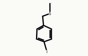 [CH2]SCc1ccc(I)cc1